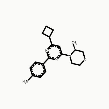 C[C@H]1COCCN1c1cc(C2C[CH]C2)nc(-c2ccc(N)cc2)n1